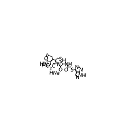 O=C(CSc1ncnc2[nH]ncc12)N[C@@H]1C(=O)N2C(C(=O)O)=C(C(CC3CC3)=C3CCNC3=O)CS[C@H]12.[NaH]